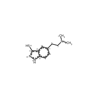 CN(C)CCc1ccc2[nH]nc(S)c2c1